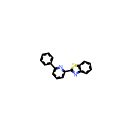 c1ccc(-c2cccc(-c3nc4ccccc4s3)n2)cc1